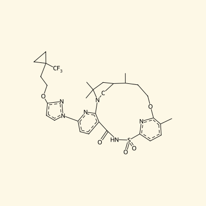 Cc1ccc2nc1OCCC(C)C1CN(c3nc(-n4ccc(OCCC5(C(F)(F)F)CC5)n4)ccc3C(=O)NS2(=O)=O)C(C)(C)C1